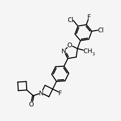 CC1(c2cc(Cl)c(F)c(Cl)c2)CC(c2ccc(C3(F)CN(C(=O)C4CCC4)C3)cc2)=NO1